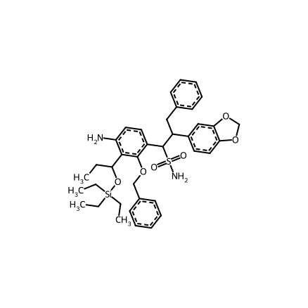 CCC(O[Si](CC)(CC)CC)c1c(N)ccc(C(C(Cc2ccccc2)c2ccc3c(c2)OCO3)S(N)(=O)=O)c1OCc1ccccc1